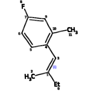 CC/C(C)=C/c1ccc(F)cc1C